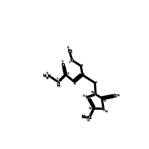 CCOCC(=CC(=O)NN)Cn1nc(OC)sc1=O